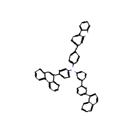 c1cc(-c2cccc(N(c3ccc(-c4ccc5c(c4)sc4ccccc45)cc3)c3ccc(-c4cc5ccccc5c5ccccc45)cc3)c2)cc(-c2cccc3ccccc23)c1